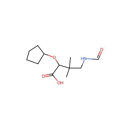 CC(C)(CNC=O)C(OC1CCCC1)C(=O)O